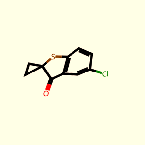 O=C1c2cc(Cl)ccc2SC12CC2